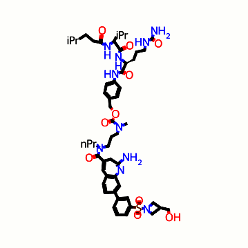 CCCN(CCCN(C)C(=O)OCc1ccc(NC(=O)[C@H](CCCNC(N)=O)NC(=O)C(NC(=O)CCC(C)C)C(C)C)cc1)C(=O)C1=Cc2ccc(-c3cccc(S(=O)(=O)N4CC(CO)C4)c3)cc2N=C(N)C1